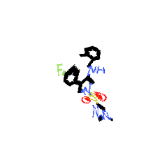 Cc1ccccc1CNC1CN(S(=O)(=O)c2cn(C)cn2)CC1c1ccc(F)cc1